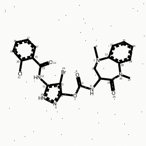 CN1CC(NC(=O)Oc2n[nH]c(NC(=O)c3ccccc3Cl)c2Br)C(=O)N(C)c2ccccc21